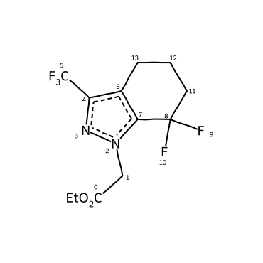 CCOC(=O)Cn1nc(C(F)(F)F)c2c1C(F)(F)CCC2